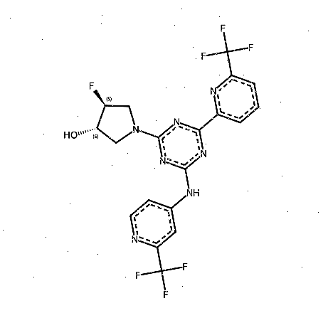 O[C@H]1CN(c2nc(Nc3ccnc(C(F)(F)F)c3)nc(-c3cccc(C(F)(F)F)n3)n2)C[C@@H]1F